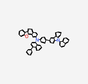 c1ccc(-c2ccc(N(c3ccc(-c4ccc5c(c4)c4ccccc4n5-c4cccc5ccccc45)cc3)c3ccc4ccc5c6ccccc6oc5c4c3)c3ccccc23)cc1